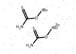 CC(C)(C)OC(N)=S.CC(C)(C)OC(N)=S.[Zn]